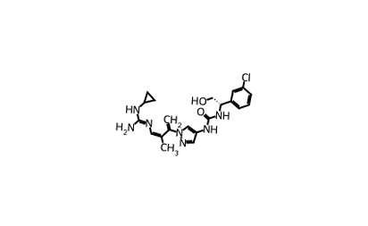 C=C(/C(C)=C\N=C(/N)NC1CC1)n1cc(NC(=O)N[C@H](CO)c2cccc(Cl)c2)cn1